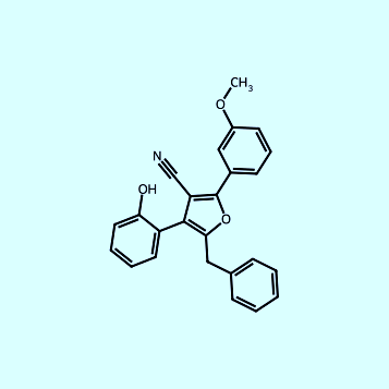 COc1cccc(-c2oc(Cc3ccccc3)c(-c3ccccc3O)c2C#N)c1